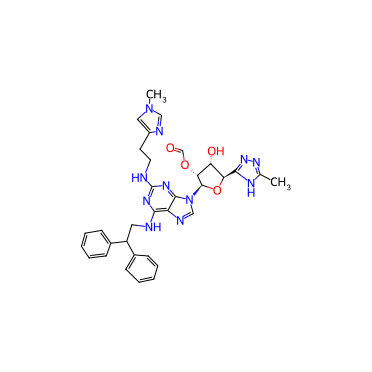 Cc1nnc([C@H]2O[C@@H](n3cnc4c(NCC(c5ccccc5)c5ccccc5)nc(NCCc5cn(C)cn5)nc43)[C@H](OC=O)[C@@H]2O)[nH]1